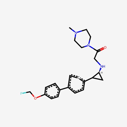 CN1CCN(C(=O)CN[C@H]2CC2c2ccc(-c3ccc(OCF)cc3)cc2)CC1